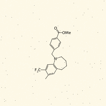 COC(=O)c1ccc(CN2CCCCc3cc(C)c(C(F)(F)F)cc32)cc1